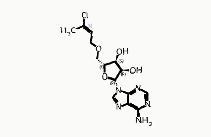 C/C(Cl)=C\COC[C@H]1O[C@@H](n2cnc3c(N)ncnc32)[C@H](O)[C@@H]1O